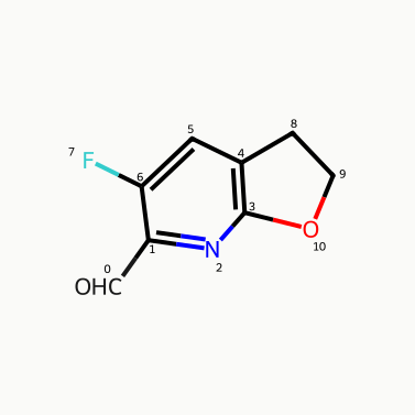 O=Cc1nc2c(cc1F)CCO2